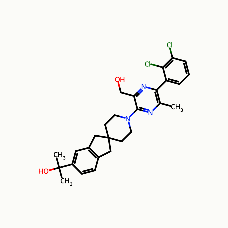 Cc1nc(N2CCC3(CC2)Cc2ccc(C(C)(C)O)cc2C3)c(CO)nc1-c1cccc(Cl)c1Cl